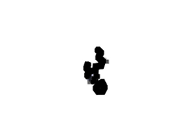 CCC[C@H](C)CCCC(/C=N\N(C)C1CCCCC1)CC